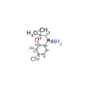 CC1(C)C[C@@H](N)c2ccc(Cl)c(F)c2O1